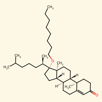 CCCCCCCCO[C@@]1([C@H](C)CCCC(C)C)CC[C@H]2[C@@H]3CCC4=CC(=O)CC[C@]4(C)[C@H]3CC[C@@]21C